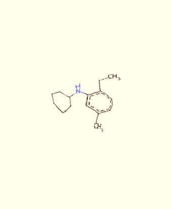 CCc1ccc(C)cc1NC1CCCCC1